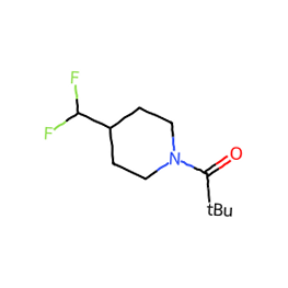 CC(C)(C)C(=O)N1CCC(C(F)F)CC1